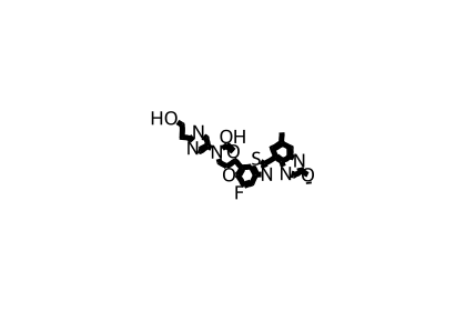 COc1cnc2c(-c3nc4cc(F)c5c(c4s3)CC(CN(C(=O)O)c3cnc(CCO)nc3)O5)cc(C)cc2n1